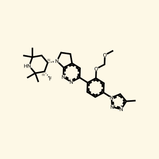 COCOc1cc(-n2cc(C)nn2)ccc1-c1cc2c(nn1)N([C@H]1CC(C)(C)NC(C)(C)[C@H]1F)CC2